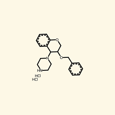 Cl.Cl.c1ccc(COC2COc3ccccc3C2N2CCNCC2)cc1